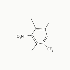 Cc1cc(C(F)(F)F)c(C)c([N+](=O)[O-])c1C